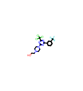 OCCN1CCN(c2nc(-c3cccc(C(F)(F)F)c3)nc(C(Cl)(Cl)Cl)n2)CC1